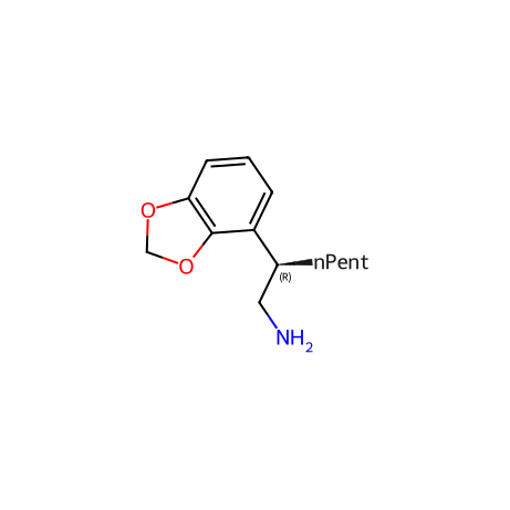 CCCCC[C@@H](CN)c1cccc2c1OCO2